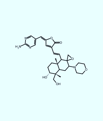 C[C@]12CC[C@@H](O)[C@@](C)(CO)C1CC(N1CCOCC1)C1(CO1)C2/C=C/C1=CC(=C\c2cnc(N)nc2)/OC1=O